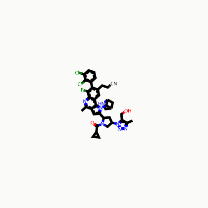 Cc1nnn(C2CC(c3cc4c(C)nc5c(F)c(-c6cccc(Cl)c6Cl)c(CCC#N)cc5c4n3C3C4CNC3C4)N(C(=O)C3CC3)C2)c1CO